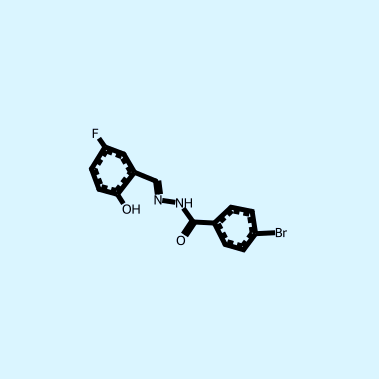 O=C(NN=Cc1cc(F)ccc1O)c1ccc(Br)cc1